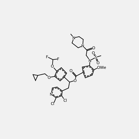 COc1ccc(C(=O)OC(Cc2ccnc(Cl)c2Cl)c2ccc(OC(F)F)c(OCC3CC3)c2)cc1N(CC(=O)N1CCN(C)CC1)S(C)(=O)=O